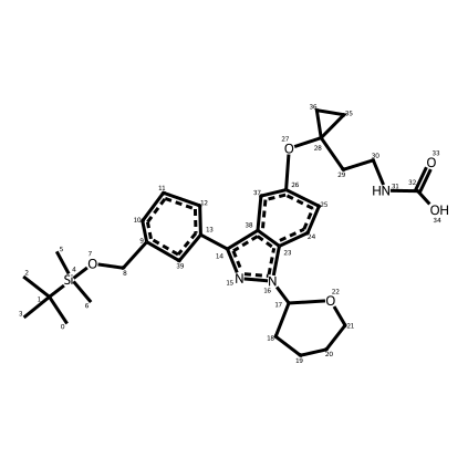 CC(C)(C)[Si](C)(C)OCc1cccc(-c2nn(C3CCCCO3)c3ccc(OC4(CCNC(=O)O)CC4)cc23)c1